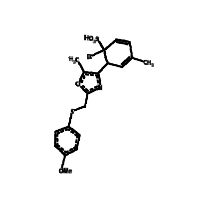 CCC1(S(=O)(=O)O)C=CC(C)=CC1c1nc(CSc2ccc(OC)cc2)oc1C